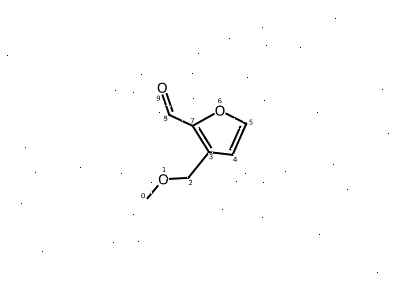 COCc1ccoc1C=O